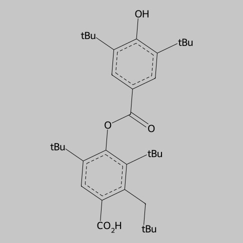 CC(C)(C)Cc1c(C(=O)O)cc(C(C)(C)C)c(OC(=O)c2cc(C(C)(C)C)c(O)c(C(C)(C)C)c2)c1C(C)(C)C